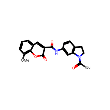 COc1cccc2cc(C(=O)Nc3ccc4c(c3)N(C(=O)C(C)(C)C)CC4)c(=O)oc12